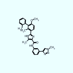 COc1ccc(-c2nc(C(=O)Nc3cccc(-c4cn(C)nn4)c3)c(C)[nH]2)c(C)c1-c1ccccc1C